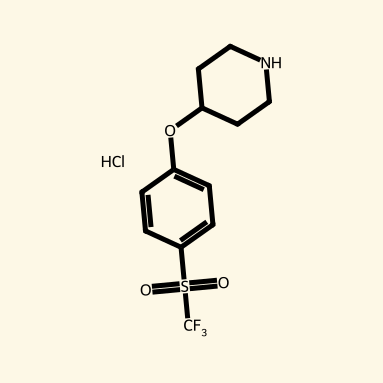 Cl.O=S(=O)(c1ccc(OC2CCNCC2)cc1)C(F)(F)F